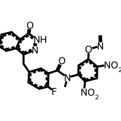 C=NOc1cc(N(C)C(=O)c2cc(Cc3n[nH]c(=O)c4ccccc34)ccc2F)c([N+](=O)[O-])cc1[N+](=O)[O-]